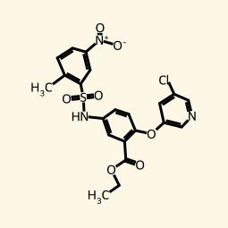 CCOC(=O)c1cc(NS(=O)(=O)c2cc([N+](=O)[O-])ccc2C)ccc1Oc1cncc(Cl)c1